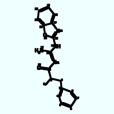 CC(Cc1ccccc1)C(=O)/N=C(\N)Nc1nc2ccccc2o1